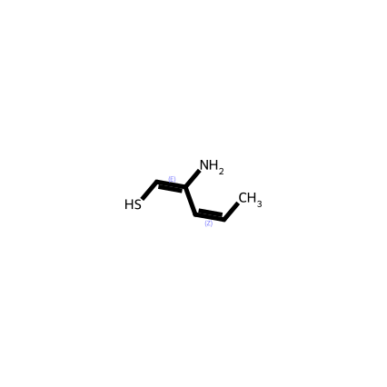 C/C=C\C(N)=C/S